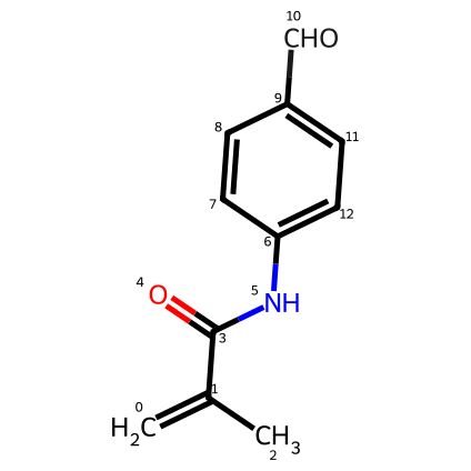 C=C(C)C(=O)Nc1ccc(C=O)cc1